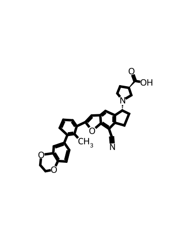 Cc1c(-c2ccc3c(c2)OCCO3)cccc1-c1cc2cc3c(c(C#N)c2o1)CC[C@H]3N1CC[C@@H](C(=O)O)C1